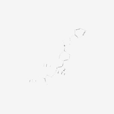 COC(=O)CCn1ncc(C2=CCC(C(=O)OCc3ccccc3)CC2)c1C